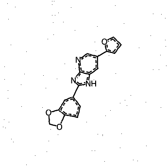 c1coc(-c2cnc3nc(-c4ccc5c(c4)OCO5)[nH]c3c2)c1